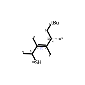 C/C(=C(/C)[C@@H](C)CC(C)(C)C)C(C)S